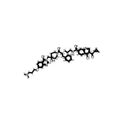 CN(C)CCCOc1ccc2c(=O)n(CC3(O)CCN(C(=O)[C@H](CCCNC(=O)c4ccc5c(Cl)c(C(=O)C6CC6)cnc5c4)Cc4ccccc4)CC3)cnc2c1